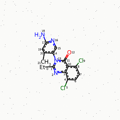 CCc1nc2c(Cl)ccc(Cl)c2c(=O)n1-c1cnc(N)cc1C